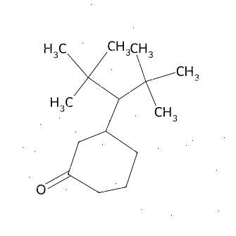 CC(C)(C)C(C1CCCC(=O)C1)C(C)(C)C